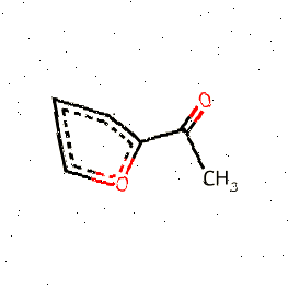 CC(=O)c1[c]cco1